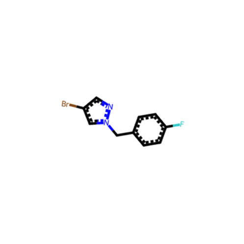 Fc1ccc(Cn2cc(Br)cn2)cc1